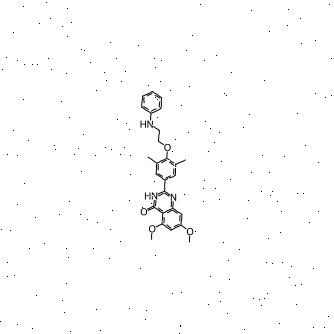 COc1cc(OC)c2c(=O)[nH]c(-c3cc(C)c(OCCNc4ccccc4)c(C)c3)nc2c1